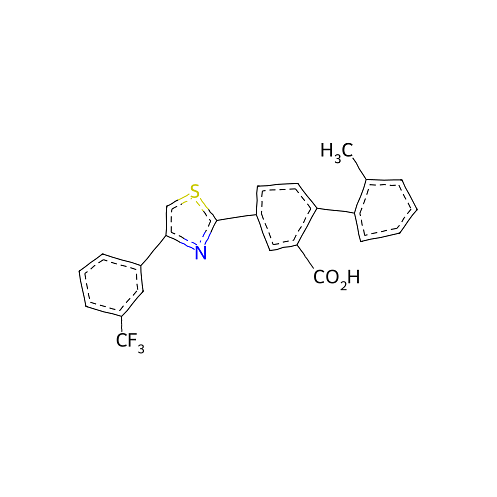 Cc1ccccc1-c1ccc(-c2nc(-c3cccc(C(F)(F)F)c3)cs2)cc1C(=O)O